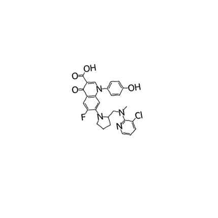 CN(CC1CCCN1c1cc2c(cc1F)c(=O)c(C(=O)O)cn2-c1ccc(O)cc1)c1ncccc1Cl